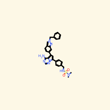 CN(C)S(=O)(=O)NCc1ccc(-c2cc(-c3ccc4cn(Cc5ccccc5)nc4c3)c3c(N)ncnn23)cc1